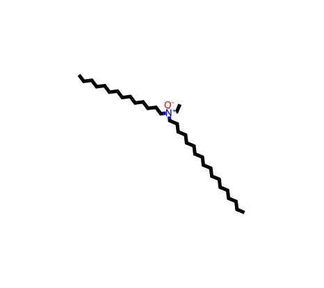 CCCCCCCCCCCCCCCCCC[N+]([O-])(CC)CCCCCCCCCCCCCC